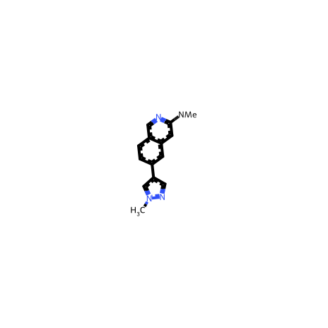 CNc1cc2cc(-c3cnn(C)c3)ccc2cn1